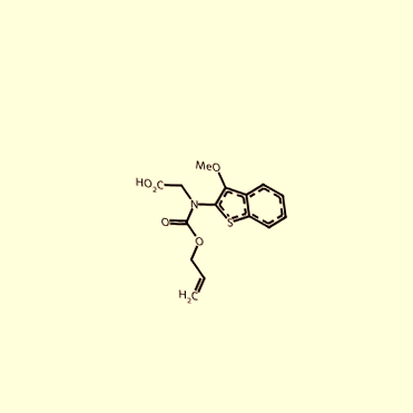 C=CCOC(=O)N(CC(=O)O)c1sc2ccccc2c1OC